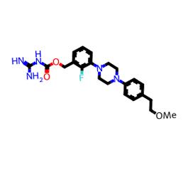 COCCc1ccc(N2CCN(c3cccc(COC(=O)NC(=N)N)c3F)CC2)cc1